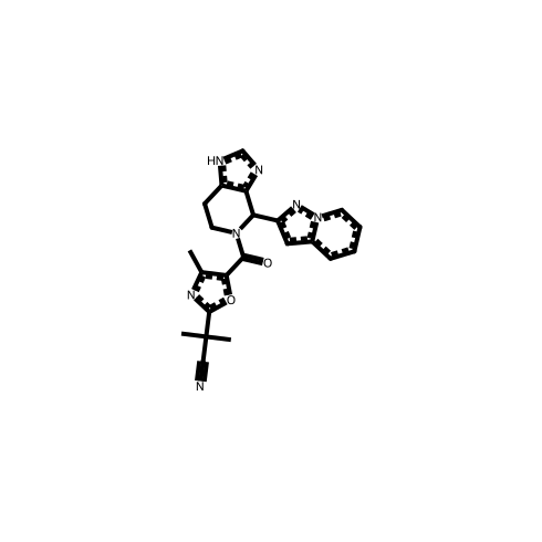 Cc1nc(C(C)(C)C#N)oc1C(=O)N1CCc2[nH]cnc2C1c1cc2ccccn2n1